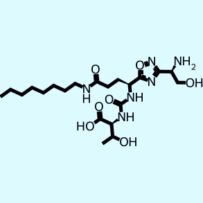 CCCCCCCCNC(=O)CC[C@H](NC(=O)N[C@H](C(=O)O)C(C)O)c1nc([C@@H](N)CO)no1